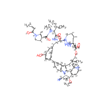 C=CC(=O)N1CC[C@H](C(=O)N(C)C(C(=O)N[C@H]2Cc3cc(O)cc(c3)-c3ccc4c(c3)c(c(-c3cnccc3COC)n4[C@H](C)C#N)CC(C)(C)COC(=O)[C@@H]3CCCN(N3)C2=O)C(C)C)C1